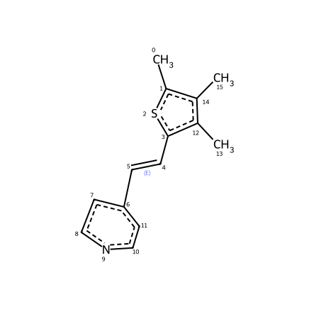 Cc1sc(/C=C/c2ccncc2)c(C)c1C